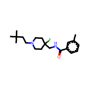 Cc1cccc(C(=O)NCC2(F)CCN(CCC(C)(C)C)CC2)c1